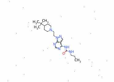 CCCNC(=O)Nc1ncnc2c1cnn2CCN1CCC(C(C)(C)C)CC1